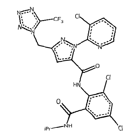 CC(C)NC(=O)c1cc(Cl)cc(Cl)c1NC(=O)c1cc(Cn2nnnc2C(F)(F)F)nn1-c1ncccc1Cl